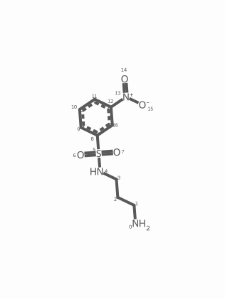 NCCCNS(=O)(=O)c1cccc([N+](=O)[O-])c1